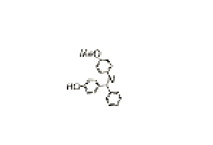 COc1ccc(N=C(c2ccccc2)c2ccc(O)cc2)cc1